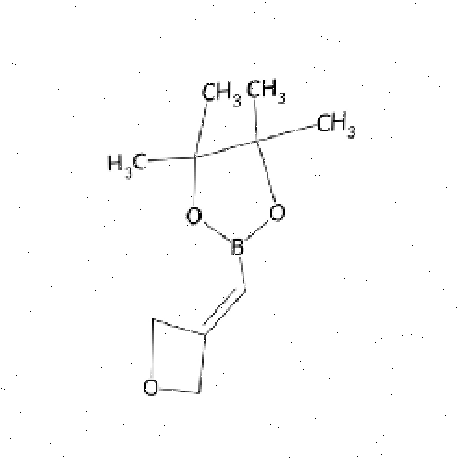 CC1(C)OB(C=C2COC2)OC1(C)C